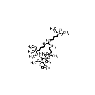 CO[Si](C)(CCCNC(NCCC[Si](C)(OC)OC)[SiH2]CC[Si](C)(C)O[Si](C)(C)C(C)[Si](OC)(OC)OC)OC